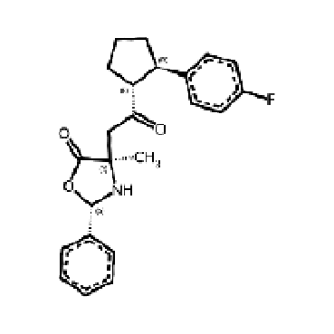 C[C@]1(CC(=O)[C@@H]2CCC[C@H]2c2ccc(F)cc2)N[C@H](c2ccccc2)OC1=O